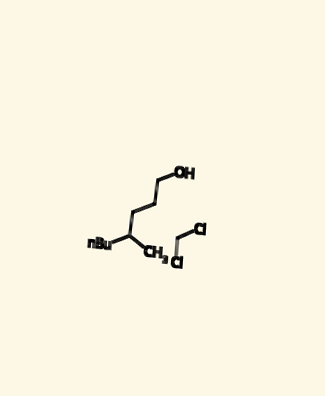 CCCCC(C)CCCO.ClCCl